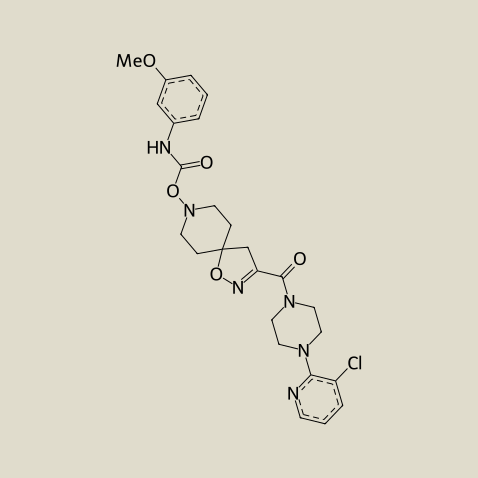 COc1cccc(NC(=O)ON2CCC3(CC2)CC(C(=O)N2CCN(c4ncccc4Cl)CC2)=NO3)c1